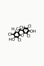 CC1(C)c2cc(Cl)c(O)c(Cl)c2Oc2c1cc(Cl)c(O)c2Cl